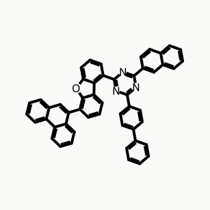 c1ccc(-c2ccc(-c3nc(-c4ccc5ccccc5c4)nc(-c4cccc5oc6c(-c7cc8ccccc8c8ccccc78)cccc6c45)n3)cc2)cc1